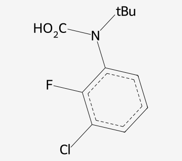 CC(C)(C)N(C(=O)O)c1cccc(Cl)c1F